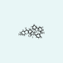 Cc1ccc(NC(=O)c2ccc(C(C)C3CCNCC3)cc2C(F)(F)F)cc1Nc1nccc(-c2cccnc2)n1